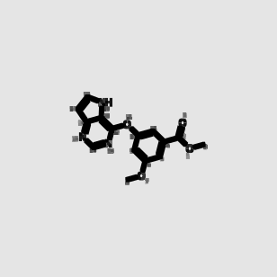 COC(=O)c1cc(OC)cc(Oc2ncnc3cc[nH]c23)c1